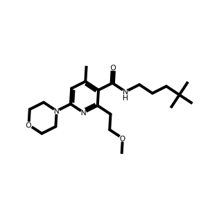 COCCc1nc(N2CCOCC2)cc(C)c1C(=O)NCCCC(C)(C)C